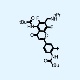 CCCNCc1c(F)c(NC(=O)C(C)(C)C)c2c(=O)cc(-c3ccc(NC(=O)C(C)(C)C)c(F)c3)oc2c1F